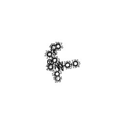 C1=Cc2cc(-c3nc(-c4ccc(-c5ccccc5)cc4)nc(-c4ccc(-c5cccc6c5sc5c7ccccc7ccc65)c5oc6ccccc6c45)n3)ccc2CC1